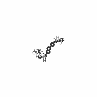 COC(=O)N[C@H](C(=O)N1CCC[C@H]1c1nc(-c2ccc3cc(-c4ccc(C(=O)CNC(=O)OC(C)(C)C)cc4)ccc3c2)c[nH]1)C(C)C